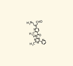 Cc1nc(NC(=O)c2ccc(N(CC=O)CCN)nc2C)nc(-c2ccccn2)n1